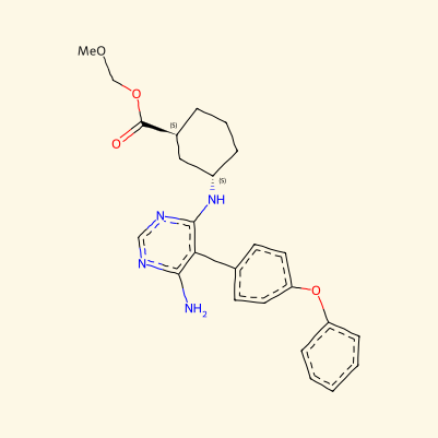 COCOC(=O)[C@H]1CCC[C@H](Nc2ncnc(N)c2-c2ccc(Oc3ccccc3)cc2)C1